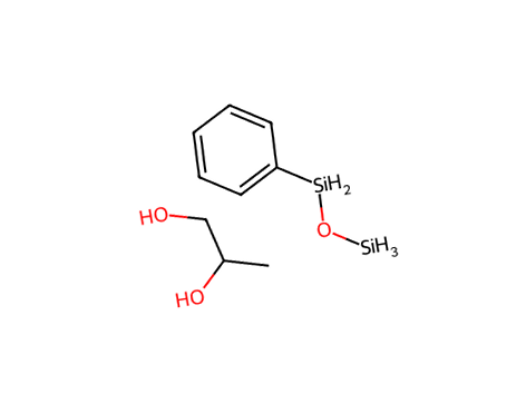 CC(O)CO.[SiH3]O[SiH2]c1ccccc1